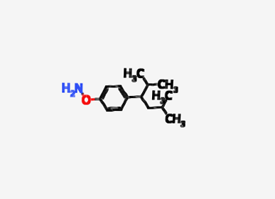 CC(C)CC(c1ccc(ON)cc1)C(C)C